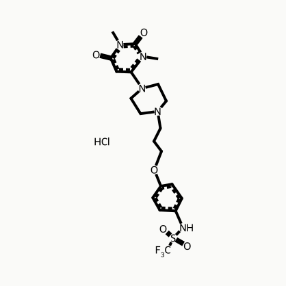 Cl.Cn1c(N2CCN(CCCOc3ccc(NS(=O)(=O)C(F)(F)F)cc3)CC2)cc(=O)n(C)c1=O